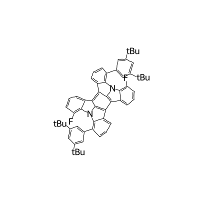 CC(C)(C)c1cc(-c2cccc3c4c5c6cccc(F)c6n6c7c(-c8cc(C(C)(C)C)cc(C(C)(C)C)c8)cccc7c(c7c8cccc(F)c8n(c23)c74)c56)cc(C(C)(C)C)c1